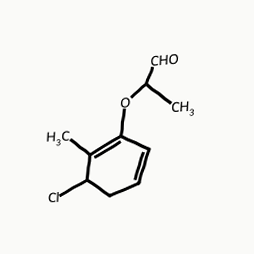 CC1=C(OC(C)C=O)C=CCC1Cl